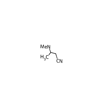 CNC(C)CC#N